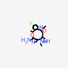 CCN/C1=C(\C=N)Cc2oc(C)nc2-c2ccc(F)cc2C(C)Oc2cc1cnc2N